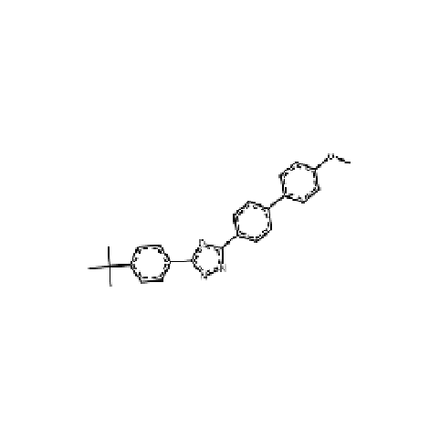 COc1ccc(-c2ccc(-c3nnc(-c4ccc(C(C)(C)C)cc4)o3)cc2)cc1